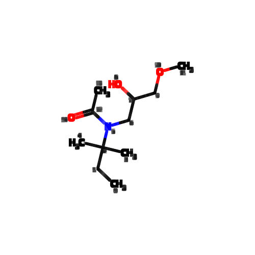 CCC(C)(C)N(CC(O)COC)C(C)=O